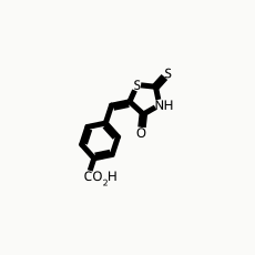 O=C1NC(=S)SC1=Cc1ccc(C(=O)O)cc1